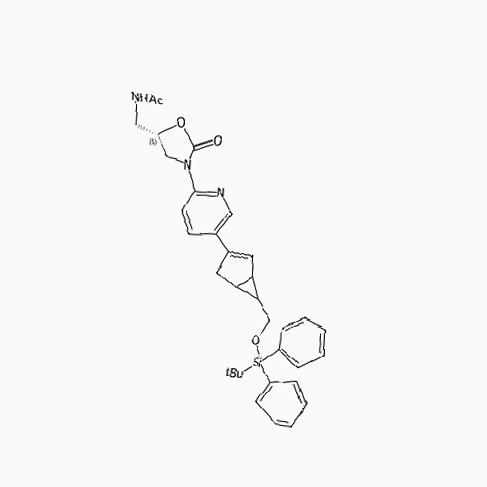 CC(=O)NC[C@H]1CN(c2ccc(C3=CC4C(CO[Si](c5ccccc5)(c5ccccc5)C(C)(C)C)C4C3)cn2)C(=O)O1